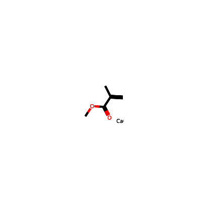 C=C(C)C(=O)OC.[Ca]